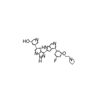 Oc1cncc(-c2cnc3[nH]nc(-c4cc5c(-c6cc(F)cc(OCCN7CCCC7)c6)cncc5[nH]4)c3c2)c1